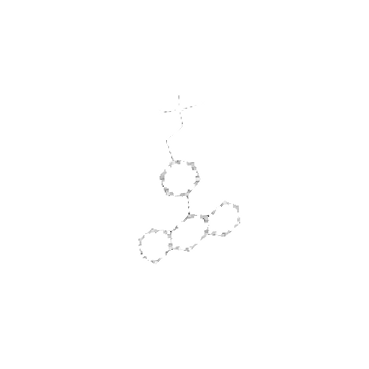 Cl[Si](Cl)(Cl)CCc1ccc(-c2c3ccccc3cc3ccccc23)cc1